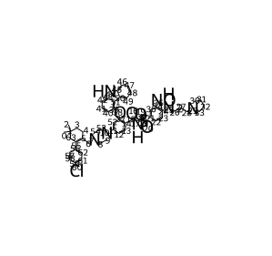 CC1(C)CCC(CN2CCN(c3ccc(C(=O)NS(=O)(=O)c4ccc(NCCCN5CCCC5)c([N+](=O)[O-])c4)c(Oc4cccc5[nH]c6ccccc6c45)c3)CC2)=C(c2ccc(Cl)cc2)C1